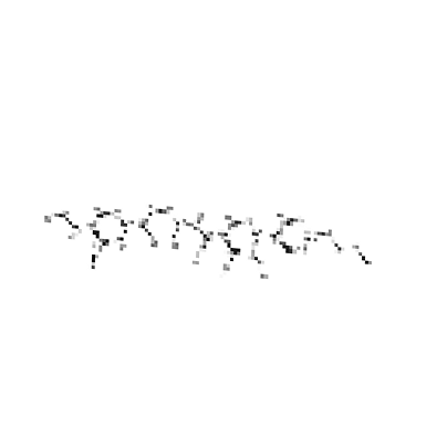 CCCCCc1ccc(-c2ccc(C(=O)OC3CCC(c4ccc(OCC)c(F)c4)CC3)c(F)c2F)cc1